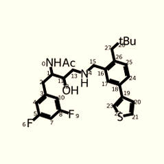 CC(=O)NC(Cc1cc(F)cc(F)c1)C(O)CNCc1cc(-c2ccsc2)ccc1CC(C)(C)C